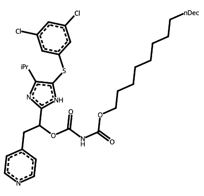 CCCCCCCCCCCCCCCCCCOC(=O)NC(=O)OC(Cc1ccncc1)c1nc(C(C)C)c(Sc2cc(Cl)cc(Cl)c2)[nH]1